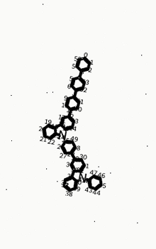 c1ccc(-c2ccc(-c3ccc(-c4ccc5c(c4)c4ccccc4n5-c4ccc(-c5ccc6c(c5)c5ccccc5n6-c5ccccc5)cc4)cc3)cc2)cc1